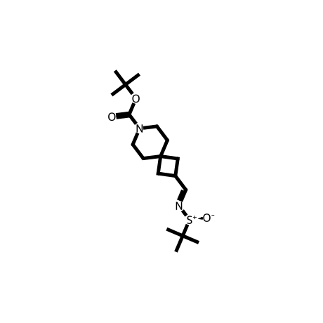 CC(C)(C)OC(=O)N1CCC2(CC1)CC(/C=N/[S@+]([O-])C(C)(C)C)C2